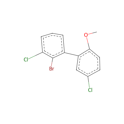 COc1ccc(Cl)cc1-c1cccc(Cl)c1Br